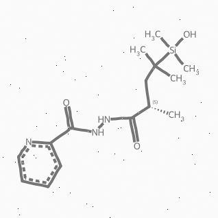 C[C@@H](CC(C)(C)[Si](C)(C)O)C(=O)NNC(=O)c1ccccn1